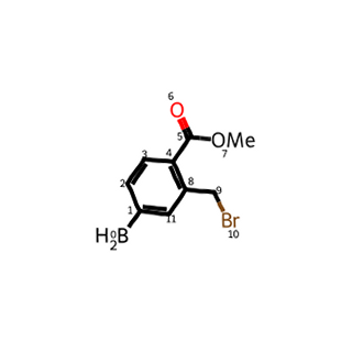 Bc1ccc(C(=O)OC)c(CBr)c1